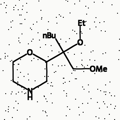 CCCCC(COC)(OCC)C1CNCCO1